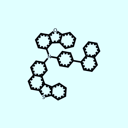 c1ccc2c(-c3ccc(N(c4ccc5ccc6sc7ccccc7c6c5c4)c4cccc5oc6ccccc6c45)cc3)cccc2c1